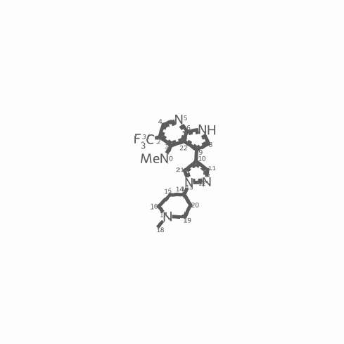 CNc1c(C(F)(F)F)cnc2[nH]cc(-c3cnn(C4CCN(C)CC4)c3)c12